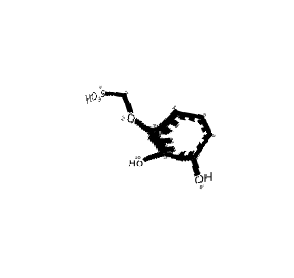 O=S(=O)(O)COc1cccc(O)c1O